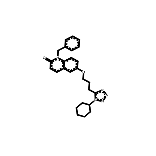 O=c1ccc2cc(OCCCc3nnnn3C3CCCCC3)ccc2n1Cc1ccccc1